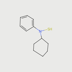 SN(c1ccccc1)C1CCCCC1